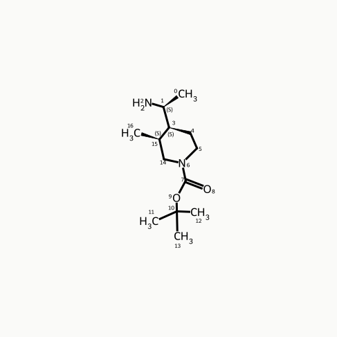 C[C@H](N)[C@H]1CCN(C(=O)OC(C)(C)C)C[C@H]1C